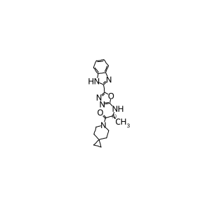 C[C@H](Nc1nnc(-c2nc3ccccc3[nH]2)o1)C(=O)N1CCC2(CC1)CC2